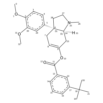 COc1ccc([C@@]23CC=C(OC(=O)c4cccc(C(C)(C)C)c4)C[C@@H]2N(C)CC3)cc1OC